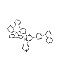 c1ccc2c(c1)-c1ccccc1C1(c3cc(-c4nc(-c5ccncc5)cc(-c5ccc(-c6cccc7ccccc67)cc5)n4)ccc3-2)c2ccccc2-c2ccccc21